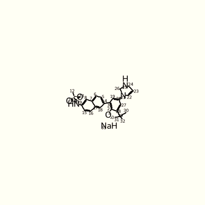 COc1c(-c2ccc3cc(NS(C)(=O)=O)ccc3c2)cc(N2C=CCNC2)cc1C(C)(C)C.[NaH]